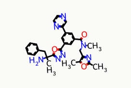 Cc1nc(CN(C)C(=O)c2cc(-c3cnccn3)cc(-c3nnc(C(C)(N)Cc4ccccc4)o3)c2)c(C)o1